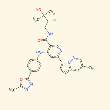 Cc1nnc(-c2ccc(Nc3cc(-c4ccc5cc(C#N)cnn45)ncc3C(=O)NCC(F)C(C)(C)O)cc2)o1